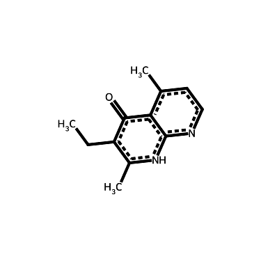 CCc1c(C)[nH]c2nccc(C)c2c1=O